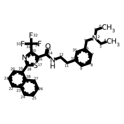 CCN(CC)Cc1cccc(CCNC(=O)c2sc(-c3cccc4ccccc34)nc2C(F)(F)F)c1